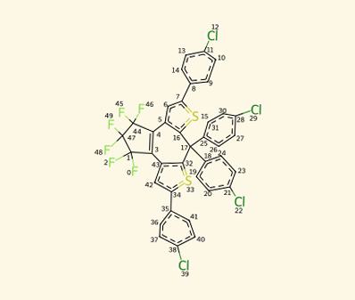 FC1(F)C2=C(c3cc(-c4ccc(Cl)cc4)sc3C(c3ccc(Cl)cc3)(c3ccc(Cl)cc3)c3sc(-c4ccc(Cl)cc4)cc32)C(F)(F)C1(F)F